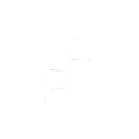 O=CC(=CC(F)(F)F)c1ccc(F)cc1